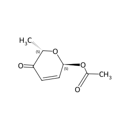 CC(=O)O[C@H]1C=CC(=O)[C@H](C)O1